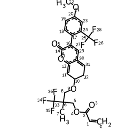 C=CC(=O)OCC(C)(COC1C=c2oc(=O)c(-c3ccc(OC)cc3C(F)(F)F)cc2=CC1)C(F)(F)F